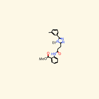 CCn1c(CCC(=O)Nc2ccccc2C(=O)OC)nnc1-c1cccc(C)c1